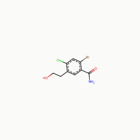 NC(=O)c1cc(CCO)c(Cl)cc1Br